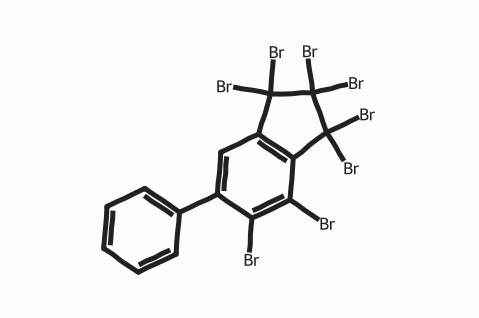 Brc1c(-c2ccccc2)cc2c(c1Br)C(Br)(Br)C(Br)(Br)C2(Br)Br